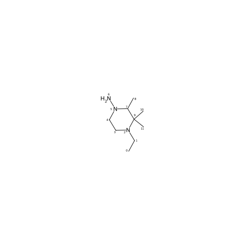 CCN1CCN(N)C(C)C1(C)C